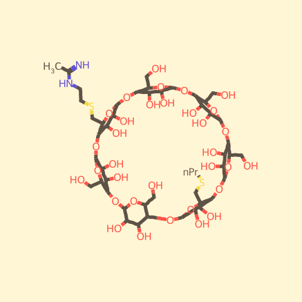 CCCSCC1OC2OC3C(CO)OC(OC4C(CO)OC(OC5C(CSCCNC(C)=N)OC(OC6C(CO)OC(OC7C(CO)OC(OC8C(CO)OC(OC1C(O)C2O)C(O)C8O)C(O)C7O)C(O)C6O)C(O)C5O)C(O)C4O)C(O)C3O